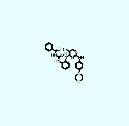 O=C(NC(=O)c1ccccc1)Nc1ccccc1Nc1nc(Nc2ccc(N3CCOCC3)cc2)ncc1Cl